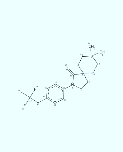 C[C@]1(O)CC[C@@]2(CCN(c3ccc(CC(F)(F)F)cc3)C2=O)CC1